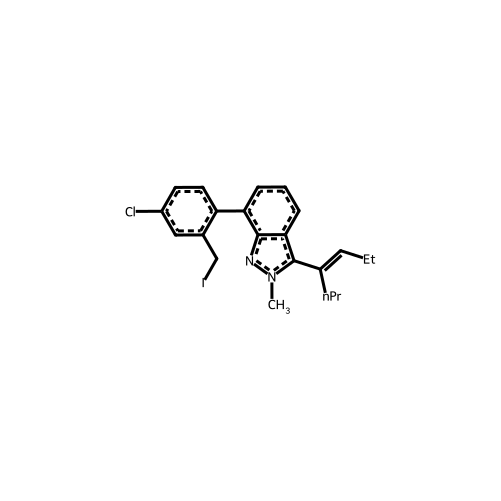 CCC=C(CCC)c1c2cccc(-c3ccc(Cl)cc3CI)c2nn1C